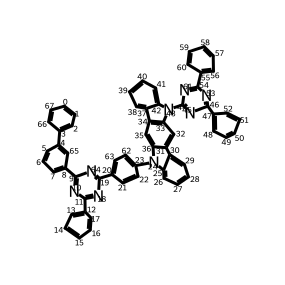 c1ccc(-c2cccc(-c3nc(-c4ccccc4)nc(-c4ccc(-n5c6ccccc6c6cc7c(cc65)c5ccccc5n7-c5nc(-c6ccccc6)nc(-c6ccccc6)n5)cc4)n3)c2)cc1